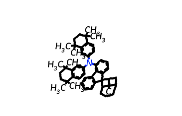 CC1(C)CCC(C)(C)c2cc(N(c3ccc4c(c3)C(C)(C)CCC4(C)C)c3cccc4c3-c3ccccc3C43C4CC5CC6CC3C64C5)ccc21